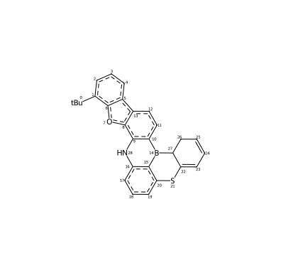 CC(C)(C)c1cccc2c1oc1c3c(ccc12)B1c2c(cccc2SC2=CC=CCC12)N3